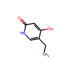 CCc1c[nH]c(=O)cc1O